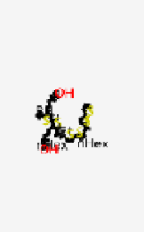 BC(C)(C)c1sc(-c2scc(C(C)C(C)(CC)c3sc(-c4sc(C(C)c5ccc(-c6cccs6)s5)cc4CCCCCC)cc3CCCCCC)c2CCCC(C)(C)[Si](C)(C)O)cc1CCCC(C)(C)[Si](C)(C)O